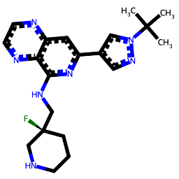 CC(C)(C)n1cc(-c2cc3nccnc3c(NC[C@]3(F)CCCNC3)n2)cn1